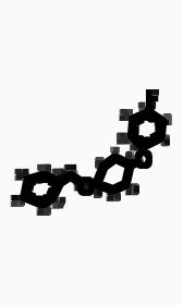 Fc1ccc(OC2CCC(OCc3ccccc3)CC2)cc1